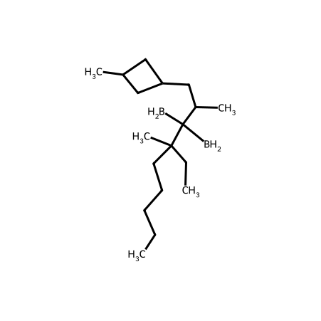 BC(B)(C(C)CC1CC(C)C1)C(C)(CC)CCCCC